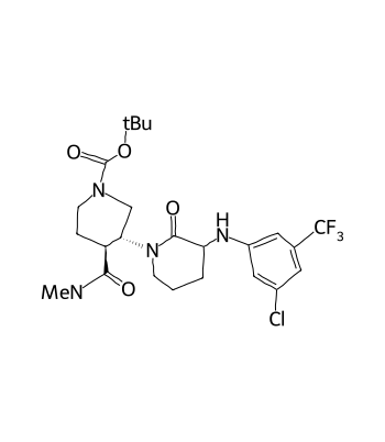 CNC(=O)[C@H]1CCN(C(=O)OC(C)(C)C)C[C@@H]1N1CCCC(Nc2cc(Cl)cc(C(F)(F)F)c2)C1=O